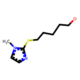 Cn1ccnc1SCCCCC[O]